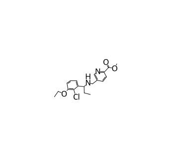 CCOc1cccc(C(CC)NCc2ccc(C(=O)OC)nc2)c1Cl